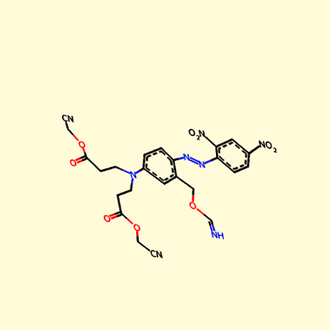 N#CCOC(=O)CCN(CCC(=O)OCC#N)c1ccc(N=Nc2ccc([N+](=O)[O-])cc2[N+](=O)[O-])c(COC=N)c1